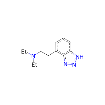 CCN(CC)CCc1cccc2[nH]nnc12